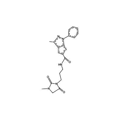 Cc1nn(-c2ccccc2)c2sc(C(=O)NCCCN3C(=O)CN(C)C3=O)cc12